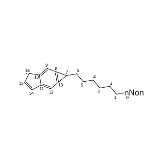 CCCCCCCCCCCCCCCC1c2cc3c(cc21)C=C[CH]3